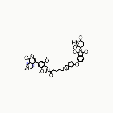 C=N/C=c1/c(=O)n(C)cc(-c2cc(OC)c(CN(C)C(=O)CCCCN3CC4(CCC(Oc5ccc6c(c5)C(=O)N(C5CCC(=O)NC5=O)C6=O)C4)C3)c(OC)c2)/c1=C/C